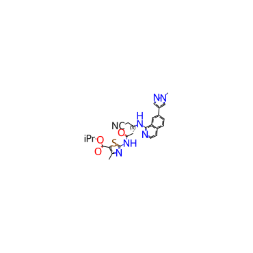 Cc1nc(NC(=O)C[C@H](CC#N)Nc2nccc3ccc(-c4cnn(C)c4)cc23)sc1C(=O)OC(C)C